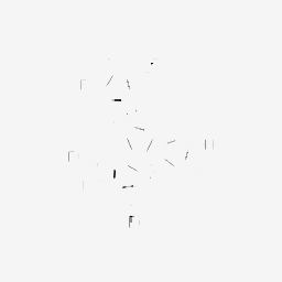 CCOCc1cc(C(C)(C)c2ccc(C(C)(c3cc(CC)c(O)c(CC)c3)c3cc(COCC)c(O)c(COCC)c3)cc2)cc(CC)c1O